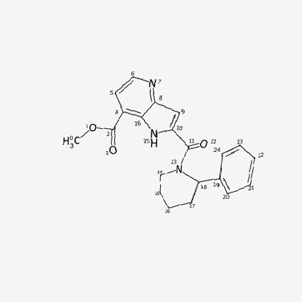 COC(=O)c1ccnc2cc(C(=O)N3CCCCC3c3ccccc3)[nH]c12